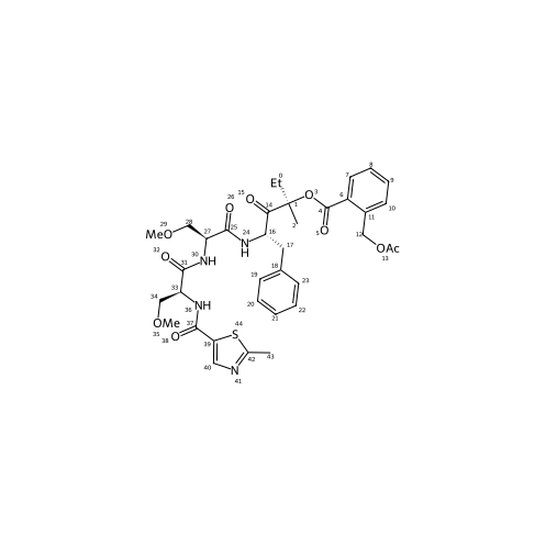 CC[C@@](C)(OC(=O)c1ccccc1COC(C)=O)C(=O)[C@H](Cc1ccccc1)NC(=O)[C@H](COC)NC(=O)[C@H](COC)NC(=O)c1cnc(C)s1